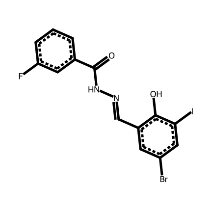 O=C(NN=Cc1cc(Br)cc(I)c1O)c1cccc(F)c1